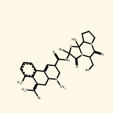 C/C(Br)=C1/CC2C(=CC(C(=O)NC3(C(C)C)OC4(O)C5CCCN5C(=O)C(CC(C)C)N4C3=O)CN2C)c2cccc(C)c21